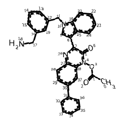 CC(=O)On1c(=O)c(-c2cn(Cc3cccc(CN)c3)c3ccccc23)nc2ccc(-c3ccccc3)cc21